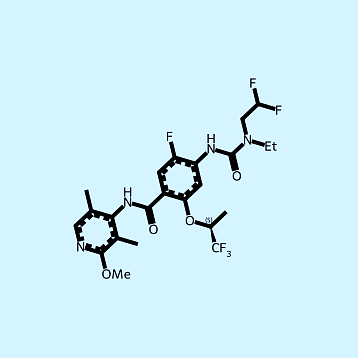 CCN(CC(F)F)C(=O)Nc1cc(O[C@@H](C)C(F)(F)F)c(C(=O)Nc2c(C)cnc(OC)c2C)cc1F